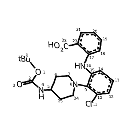 CC(C)(C)OC(=O)NC1CCN(c2c(Cl)cccc2Nc2ccccc2C(=O)O)CC1